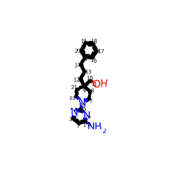 Nc1ccnc(N2CCC(CO)(CCCc3ccccc3)CC2)n1